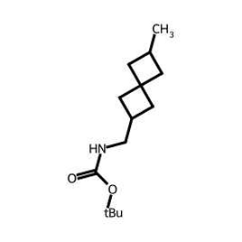 CC1CC2(C1)CC(CNC(=O)OC(C)(C)C)C2